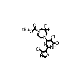 CC(C)(C)OC(=O)N1CCN(c2nc(-c3scnc3Cl)[nH]c(=O)c2Cl)CC(F)(F)C1